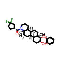 C[C@]12CC[C@H]3C(CC[C@@]4(C)[C@@H](Oc5ccccc5)[C@@H](O)CC[C@]34C)[C@@H]1CCCN2C(=O)[C@@H]1CCC(F)(F)C1